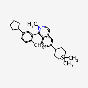 Cc1ccc(C2CCCC2)cc1-c1c2ccc(C3CC[Si](C)(C)CC3)cc2cc[n+]1C